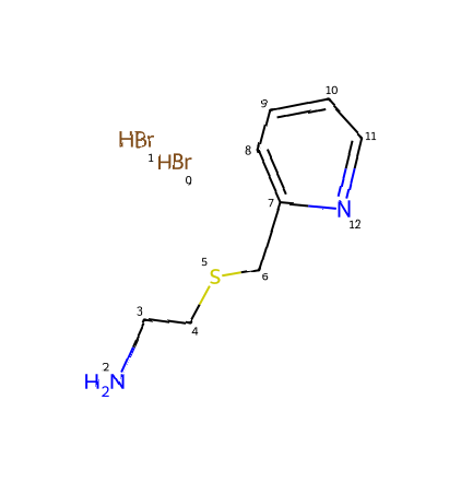 Br.Br.NCCSCc1ccccn1